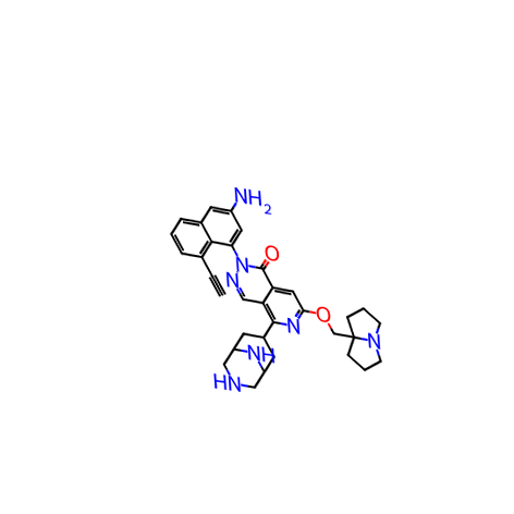 C#Cc1cccc2cc(N)cc(-n3ncc4c(C5CC6CNCC(C5)N6)nc(OCC56CCCN5CCC6)cc4c3=O)c12